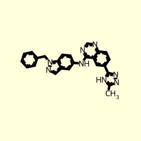 Cc1nnc(-c2ccc3ncnc(Nc4ccc5c(cnn5Cc5ccccc5)c4)c3c2)[nH]1